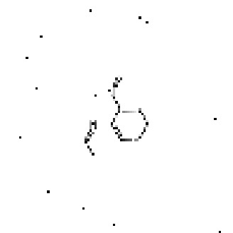 C=NC1=CCCC=C1/N=C\C